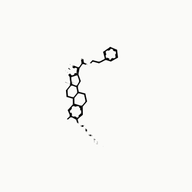 CCc1cc2c(cc1OSOON)CCC1C2CC[C@]2(C)c3n[nH]c(C(=O)NCCc4ccccc4)c3CC12